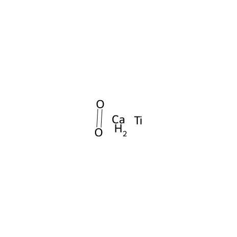 O=O.[CaH2].[Ti]